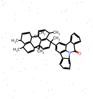 CC1C=CC2(C)C3=C1C(C)C=CC3(C)C1(C)C=CC(C)(c3cc4c5ccccc5c(=O)n5c6ccccc6c(c3)c45)C3=C1C2(C)C=CC3C